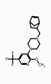 COc1ncc(C(F)(F)F)cc1N1CCN(CC2CC3C=CC2C3)CC1